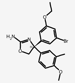 CCOc1cc(Br)cc([C@@]2(c3ccc(OC)c(C)c3)COC(N)=N2)c1